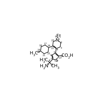 CCN1CCC(c2cc(C(C)(C)N)sc2C(=O)O)=C(C2CCC(C)CC2)C1